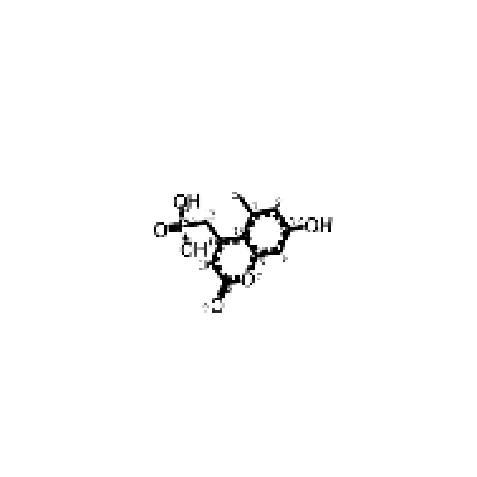 Cc1cc(O)cc2oc(=O)cc(CP(=O)(O)O)c12